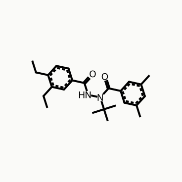 CCc1ccc(C(=O)NN(C(=O)c2cc(C)cc(C)c2)C(C)(C)C)cc1CC